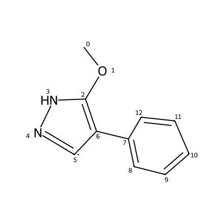 COc1[nH]n[c]c1-c1ccccc1